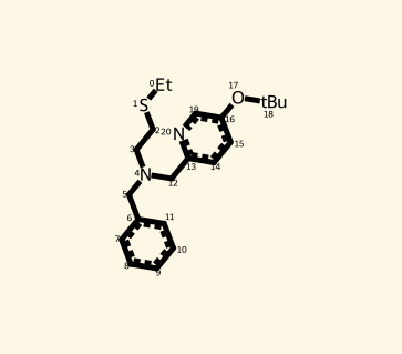 CCSCCN(Cc1ccccc1)Cc1ccc(OC(C)(C)C)cn1